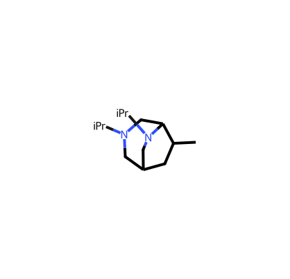 CC1CC2CN(C(C)C)CC1N(C(C)C)C2